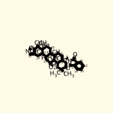 CC1(C)CC[C@]2(CN3C(=O)c4ccccc4C3=O)CC[C@]3(C)[C@H](C(=O)C[C@@H]4[C@@]5(C)Cc6cnoc6C(C)(C)[C@@H]5CC[C@]43C)[C@@H]2C1